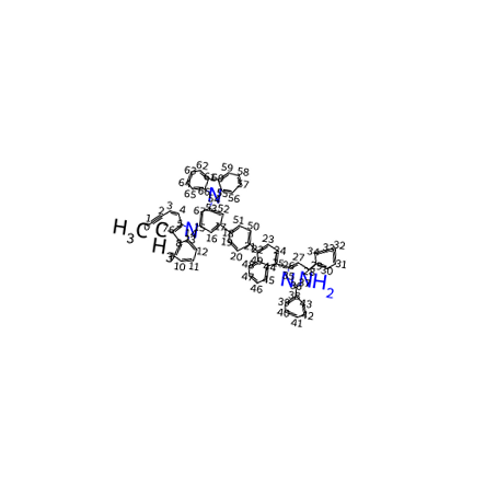 CC#C/C=C\c1c(C)c2ccccc2n1-c1cc(-c2ccc(-c3ccc(C(=C/Cc4ccccc4)/N=C(\N)c4ccccc4)c4ccccc34)cc2)cc(-n2c3ccccc3c3ccccc32)c1